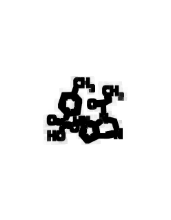 C=CC(=O)N1CN=Cc2cc[nH]c21.Cc1ccc(S(=O)(=O)O)cc1